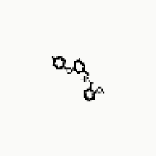 COc1ccccc1CNCc1cccc(Oc2ccc(C)cc2)c1